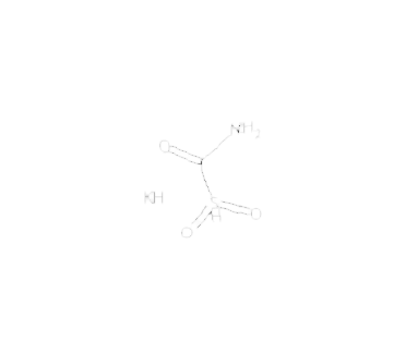 NC(=O)[SH](=O)=O.[KH]